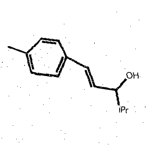 Cc1ccc(C=CC(O)C(C)C)cc1